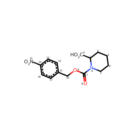 O=C(O)C1CCCCN1C(=O)OCc1ccc([N+](=O)[O-])cc1